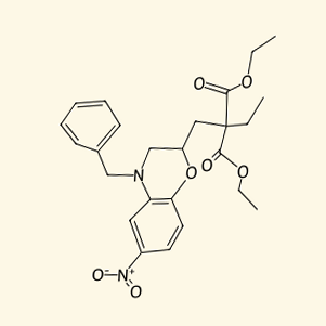 CCOC(=O)C(CC)(CC1CN(Cc2ccccc2)c2cc([N+](=O)[O-])ccc2O1)C(=O)OCC